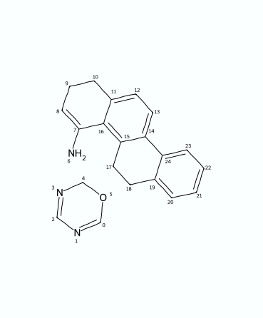 C1=NC=NCO1.NC1=CCCc2ccc3c(c21)CCc1ccccc1-3